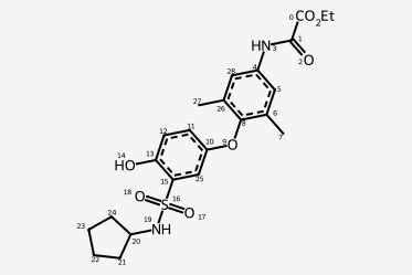 CCOC(=O)C(=O)Nc1cc(C)c(Oc2ccc(O)c(S(=O)(=O)NC3CCCC3)c2)c(C)c1